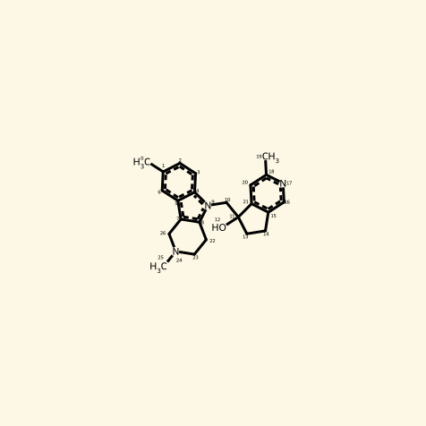 Cc1ccc2c(c1)c1c(n2CC2(O)CCc3cnc(C)cc32)CCN(C)C1